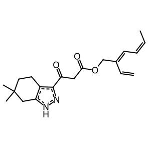 C=C/C(=C\C=C/C)COC(=O)CC(=O)c1n[nH]c2c1CCC(C)(C)C2